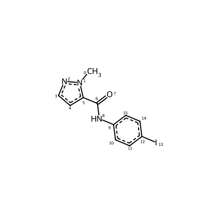 Cn1nccc1C(=O)Nc1ccc(I)cc1